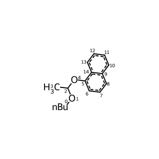 CCCCOC(C)Oc1cccc2ccccc12